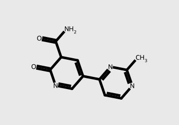 Cc1nccc(C2=CC(C(N)=O)C(=O)N=C2)n1